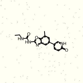 CCNC(=O)Nc1nc2cc(-c3ccc(=O)[nH]c3)cc(C)c2o1